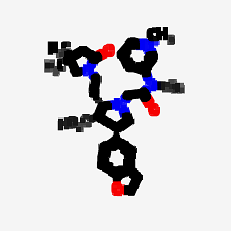 CCCCN(C(=O)CN1C[C@H](c2ccc3c(c2)CCO3)[C@@H](C(=O)O)[C@@H]1CCN1CC(C)(C)CC1=O)c1ccc[n+](C)c1